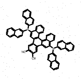 N#Cc1cc2c(cc1C#N)c1cc(N(c3ccc4ccccc4c3)c3ccc4ccccc4c3)c3ccccc3c1c1c3ccccc3c(N(c3ccc4ccccc4c3)c3ccc4ccccc4c3)cc21